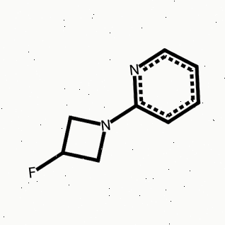 FC1CN(c2ccccn2)C1